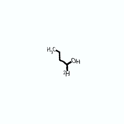 [2H]C(O)CCC